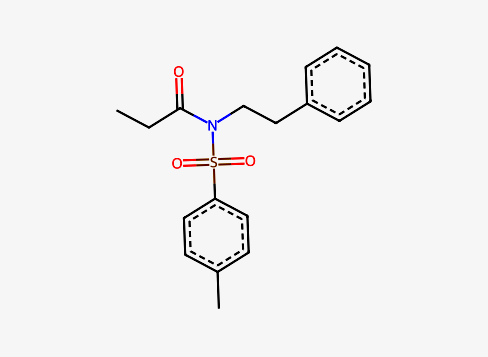 CCC(=O)N(CCc1ccccc1)S(=O)(=O)c1ccc(C)cc1